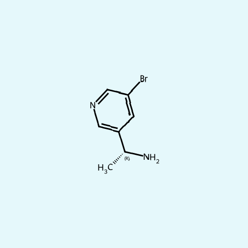 C[C@@H](N)c1cncc(Br)c1